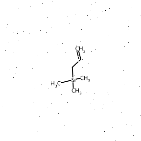 C=[C]C[Si](C)(C)C